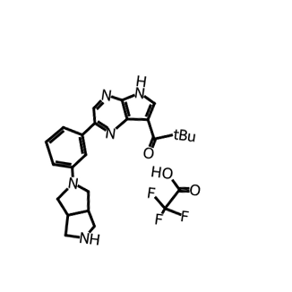 CC(C)(C)C(=O)c1c[nH]c2ncc(-c3cccc(N4CC5CNCC5C4)c3)nc12.O=C(O)C(F)(F)F